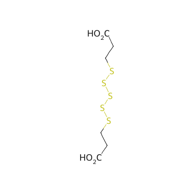 O=C(O)CCSSSSSCCC(=O)O